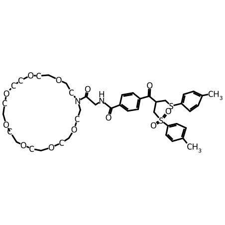 Cc1ccc(SCC(CS(=O)(=O)c2ccc(C)cc2)C(=O)c2ccc(C(=O)NCC(=O)N3CCOCCOCCOCCOCCOCCOCCOCC3)cc2)cc1